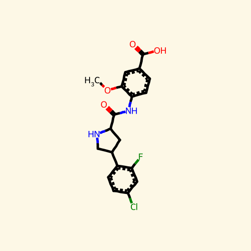 COc1cc(C(=O)O)ccc1NC(=O)C1CC(c2ccc(Cl)cc2F)CN1